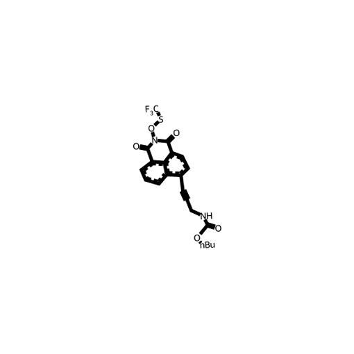 CCCCOC(=O)NCC#Cc1ccc2c3c(cccc13)C(=O)N(OSC(F)(F)F)C2=O